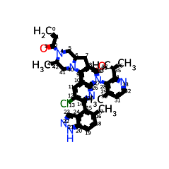 C=CC(=O)N1CC2Cc3c(c4cc(Cl)c(-c5c(C)ccc6[nH]ncc56)nc4n(-c4c(C)ccnc4C(C)C)c3=O)N2CC1C